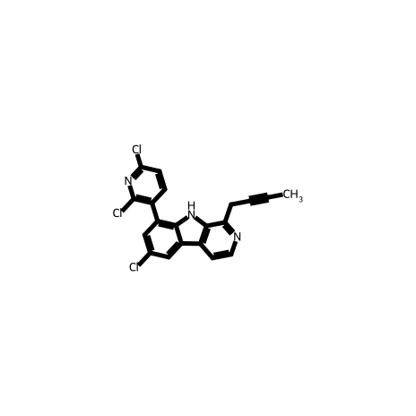 CC#CCc1nccc2c1[nH]c1c(-c3ccc(Cl)nc3Cl)cc(Cl)cc12